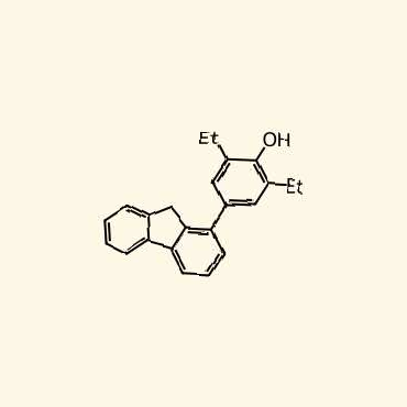 CCc1cc(-c2cccc3c2Cc2ccccc2-3)cc(CC)c1O